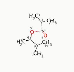 CC(C)C(=O)O[C@H](C)C(C)C